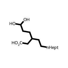 CCCCCCCCCC(CCC(O)O)CC(=O)O